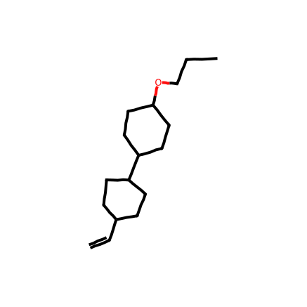 C=CC1CCC(C2CCC(OCCC)CC2)CC1